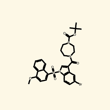 COc1ccc(S(=O)(=O)n2cc(C(=O)N3CCCN(C(=O)OC(C)(C)C)CC3)c3cc(Br)ccc32)c2ccccc12